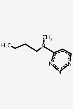 CCCCN(C)c1ccnnn1